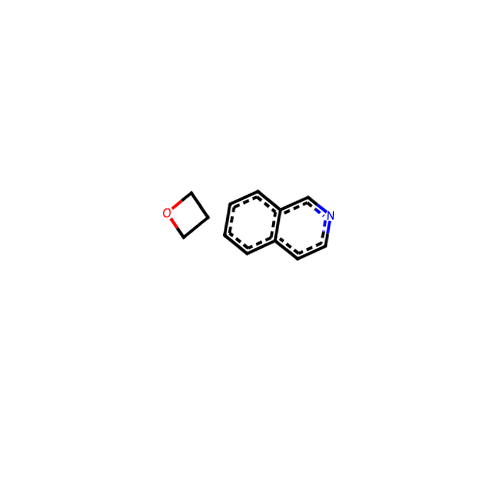 C1COC1.c1ccc2cnccc2c1